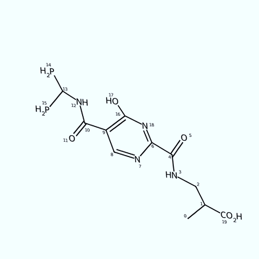 CC(CNC(=O)c1ncc(C(=O)NC(P)P)c(O)n1)C(=O)O